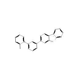 Cc1ccccc1-c1cccc(-c2ccc3c(c2)oc2ccccc23)c1